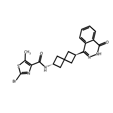 Cc1sc(Br)nc1C(=O)N[C@H]1CC2(C1)C[C@H](c1n[nH]c(=O)c3ccccc31)C2